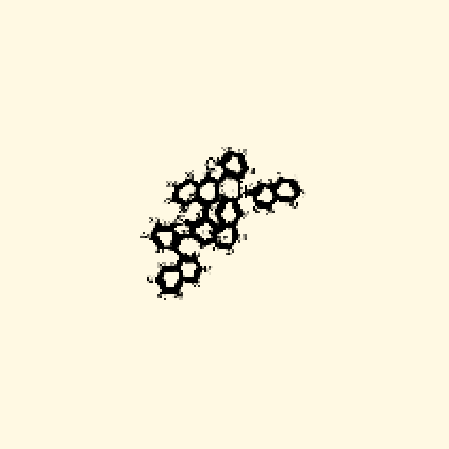 c1ccc2cc(N(c3ccc4ccccc4c3)c3cccc4oc5c6ccccc6c(-c6cccc7c6sc6cccc(-c8cccc9ccccc89)c67)cc5c34)ccc2c1